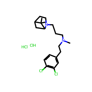 CN(CCCN1CCC2CC1C2(C)C)CCc1ccc(Cl)c(Cl)c1.Cl.Cl